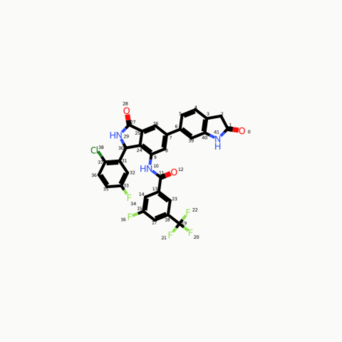 O=C1Cc2ccc(-c3cc(NC(=O)c4cc(F)cc(C(F)(F)F)c4)c4c(c3)C(=O)NC4c3cc(F)ccc3Cl)cc2N1